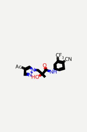 CC(=O)c1cnn(CC(C)(O)C(=O)Nc2ccc(C#N)c(C(F)(F)F)c2)c1